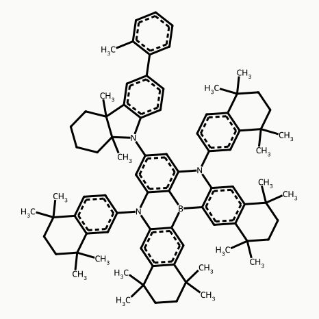 Cc1ccccc1-c1ccc2c(c1)C1(C)CCCCC1(C)N2c1cc2c3c(c1)N(c1ccc4c(c1)C(C)(C)CCC4(C)C)c1cc4c(cc1B3c1cc3c(cc1N2c1ccc2c(c1)C(C)(C)CCC2(C)C)C(C)(C)CCC3(C)C)C(C)(C)CCC4(C)C